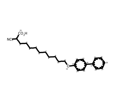 N#CC(CCCCCCCCCCOc1ccc(-c2ccccc2)cc1)C(=O)O